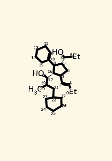 CC/C=C/C1C[C@@H](C(O)CC)C(C2=CCCCC2)[C@H]1C(O)C(C)CC1CCCCC1